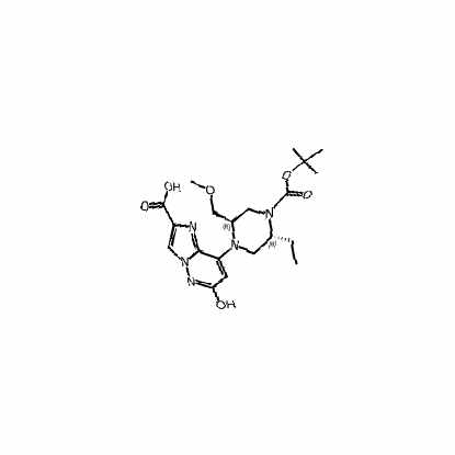 CC[C@@H]1CN(c2cc(O)nn3cc(C(=O)O)nc23)[C@@H](COC)CN1C(=O)OC(C)(C)C